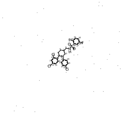 O=S(=O)(NCC1CCC(c2ccc(Cl)cc2Cl)N(c2ccc(Cl)cc2)C1)c1cc(F)ccc1F